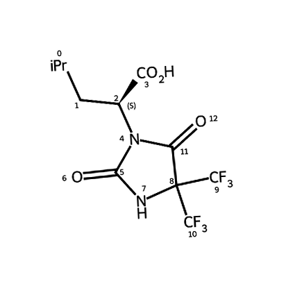 CC(C)C[C@@H](C(=O)O)N1C(=O)NC(C(F)(F)F)(C(F)(F)F)C1=O